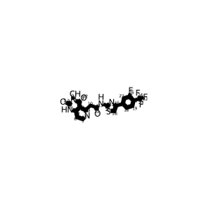 Cn1c(=O)[nH]c2ccnc(CC(=O)Nc3nc(-c4ccc(C(F)(F)F)c(F)c4)cs3)c2c1=O